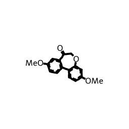 COc1ccc2c(c1)OCC(=O)c1cc(OC)ccc1-2